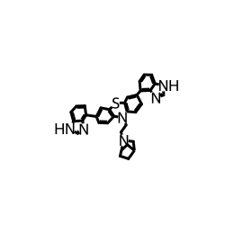 c1cc(-c2ccc3c(c2)Sc2cc(-c4cccc5[nH]cnc45)ccc2N3CCN2CC3CCC2C3)c2nc[nH]c2c1